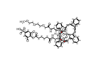 COCCOCCOCC(=O)NCCC[Si](C)(C)O[Si]1(O[Si](C)(C)CCCNC(=O)CCCCC(=O)Oc2c(Cl)cc(S(=O)(=O)O)cc2Cl)n2c3c4ccccc4c2/N=C2N=C(/N=c4/c5ccccc5/c(n41)=N/C1=NC(=N\3)/c3ccccc31)c1ccccc1\2